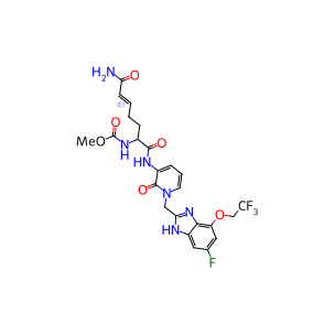 COC(=O)NC(CC/C=C/C(N)=O)C(=O)Nc1cccn(Cc2nc3c(OCC(F)(F)F)cc(F)cc3[nH]2)c1=O